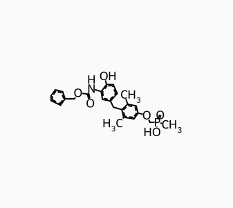 Cc1cc(OCP(C)(=O)O)cc(C)c1Cc1ccc(O)c(NC(=O)OCc2ccccc2)c1